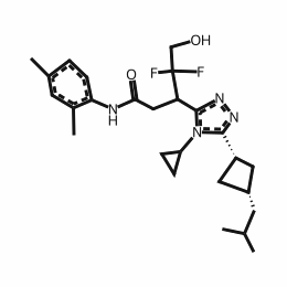 Cc1ccc(NC(=O)CC(c2nnc([C@H]3C[C@@H](CC(C)C)C3)n2C2CC2)C(F)(F)CO)c(C)c1